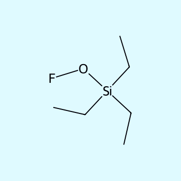 CC[Si](CC)(CC)OF